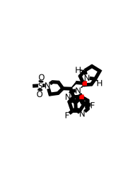 CS(=O)(=O)N1CCC([C@@H](CCN2[C@@H]3CC[C@H]2C[C@H](n2cnc4cnccc42)C3)c2cc(F)cc(F)c2)CC1